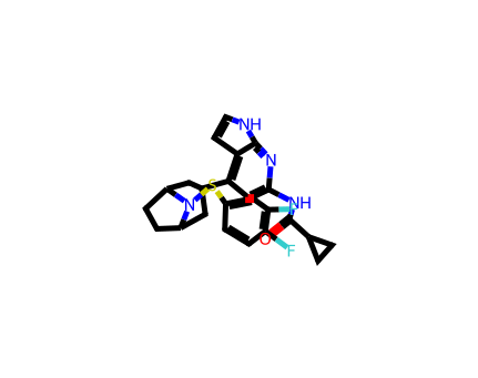 O=C(Nc1cc(C2CC3CCC(C2)N3Sc2ccc(F)c(F)c2)c2cc[nH]c2n1)C1CC1